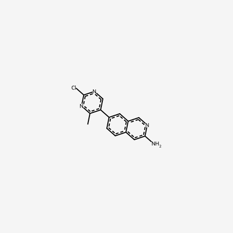 Cc1nc(Cl)ncc1-c1ccc2cc(N)ncc2c1